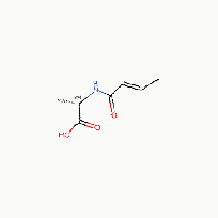 CC=CC(=O)N[C@@H](C)C(=O)O